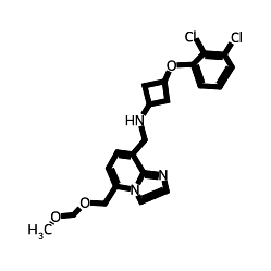 COCOCc1ccc(CNC2CC(Oc3cccc(Cl)c3Cl)C2)c2nccn12